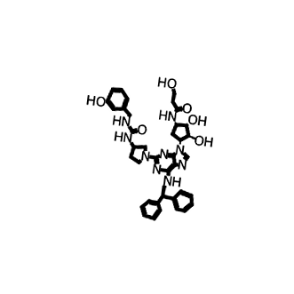 O=C(CCO)N[C@H]1C[C@@H](n2cnc3c(NCC(c4ccccc4)c4ccccc4)nc(N4CCC(NC(=O)NCc5cccc(O)c5)C4)nc32)[C@H](O)[C@@H]1O